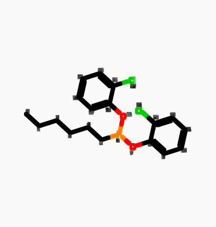 CCCCCCP(Oc1ccccc1Cl)Oc1ccccc1Cl